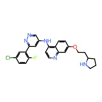 Fc1ccc(Cl)cc1-c1cc(Nc2ccnc3cc(OCCC4CCCN4)ccc23)cnn1